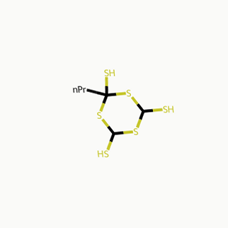 CCCC1(S)SC(S)SC(S)S1